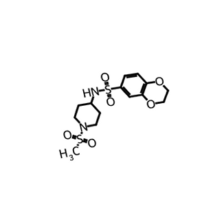 CS(=O)(=O)N1CCC(NS(=O)(=O)c2ccc3c(c2)OCCO3)CC1